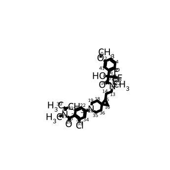 COc1cccc(C(O)(C(=O)N(C)CCC2CC23CCN(c2ccc(C(=O)N(C)C(C)C)c(Cl)c2)CC3)C(F)(F)F)c1